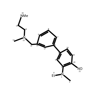 CCN(C)c1cc(-c2cccc(CN(C)CCNC)c2)ccc1N=O